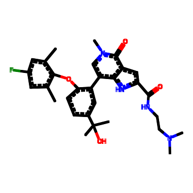 Cc1cc(F)cc(C)c1Oc1ccc(C(C)(C)O)cc1-c1cn(C)c(=O)c2cc(C(=O)NCCN(C)C)[nH]c12